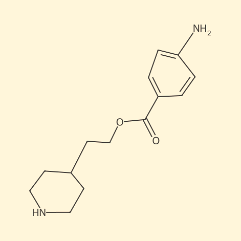 Nc1ccc(C(=O)OCCC2CCNCC2)cc1